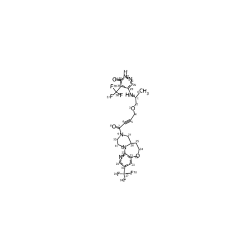 CC(COCC#CC(=O)N1CCN2c3ncc(C(F)(F)F)cc3OCCC2C1)Nc1cn[nH]c(=O)c1C(F)(F)F